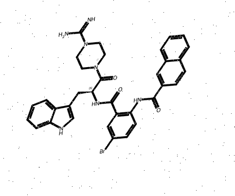 N=C(N)N1CCN(C(=O)[C@H](Cc2c[nH]c3ccccc23)NC(=O)c2cc(Br)ccc2NC(=O)c2ccc3ccccc3c2)CC1